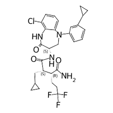 NC(=O)[C@H](CCC(F)(F)F)[C@H](CC1CC1)C(=O)N[C@H]1CN(c2cccc(C3CC3)c2)c2cccc(Cl)c2NC1=O